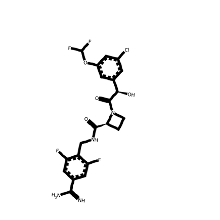 N=C(N)c1cc(F)c(CNC(=O)[C@@H]2CCN2C(=O)[C@H](O)c2cc(Cl)cc(OC(F)F)c2)c(F)c1